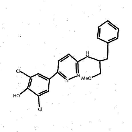 COCC(Cc1ccccc1)Nc1ccc(-c2cc(Cl)c(O)c(Cl)c2)nn1